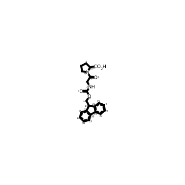 O=C(NCC(=O)N1CCCC1C(=O)O)OCC1c2ccccc2-c2ccccc21